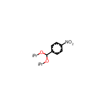 CC(C)OC(OC(C)C)c1ccc([N+](=O)[O-])cc1